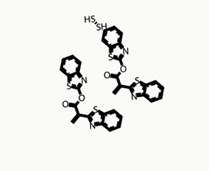 C=C(C(=O)Oc1nc2ccccc2s1)c1nc2ccccc2s1.C=C(C(=O)Oc1nc2ccccc2s1)c1nc2ccccc2s1.SS